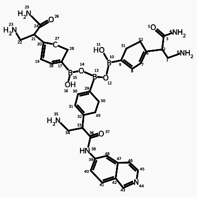 NCC(C(N)=O)C1=CC=C(B(O)OB(OB(O)C2=CC=C(C(CN)C(N)=O)CC2)C2=CC=C(C(CN)C(=O)Nc3ccc4cnccc4c3)CC2)CC1